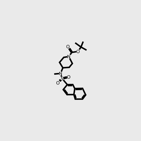 CN(C1CCN(C(=O)OC(C)(C)C)CC1)S(=O)(=O)c1ccc2ccccc2c1